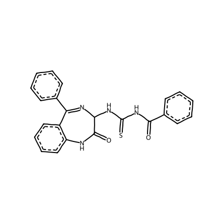 O=C(NC(=S)NC1N=C(c2ccccc2)c2ccccc2NC1=O)c1ccccc1